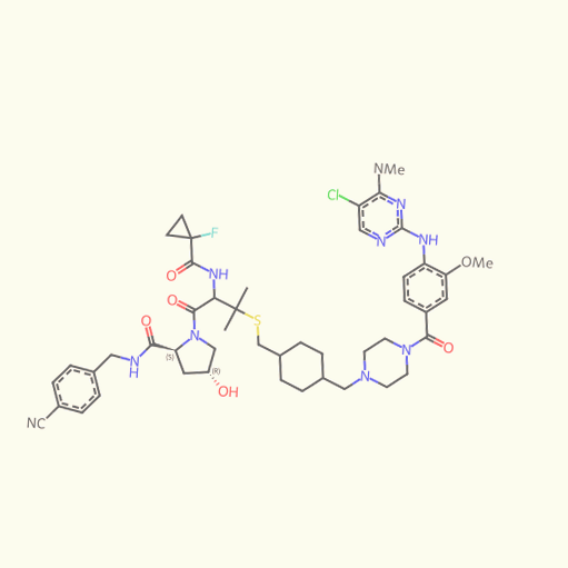 CNc1nc(Nc2ccc(C(=O)N3CCN(CC4CCC(CSC(C)(C)C(NC(=O)C5(F)CC5)C(=O)N5C[C@H](O)C[C@H]5C(=O)NCc5ccc(C#N)cc5)CC4)CC3)cc2OC)ncc1Cl